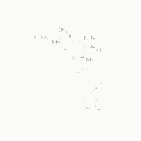 Cc1nc(-c2nnn(C)c2C(=O)NC(=O)OC[C@H](F)c2cccc(F)c2)ccc1NC(=O)O